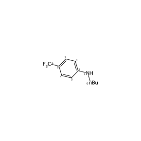 [CH2]CCCNc1ccc(C(F)(F)F)cc1